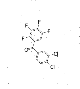 O=C(c1ccc(Cl)c(Cl)c1)c1cc(F)c(F)c(F)c1F